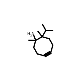 CC(C)C1(C)CCC#CCCC1(C)N